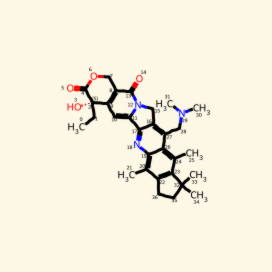 CC[C@@]1(O)C(=O)OCc2c1cc1n(c2=O)Cc2c-1nc1c(C)c3c(c(C)c1c2CN(C)C)C(C)(C)CC3